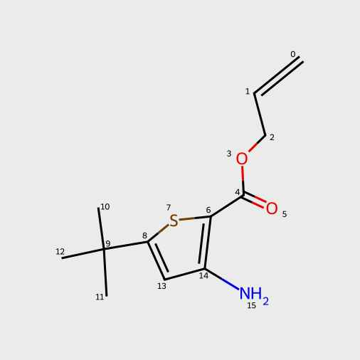 C=CCOC(=O)c1sc(C(C)(C)C)cc1N